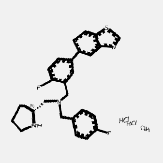 Cl.Cl.Cl.Fc1ccc(CN(Cc2cc(-c3ccc4scnc4c3)ccc2F)C[C@H]2CCCN2)cc1